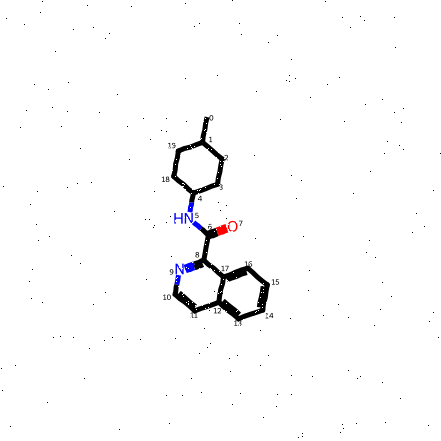 CC1CCC(NC(=O)c2nccc3ccccc23)CC1